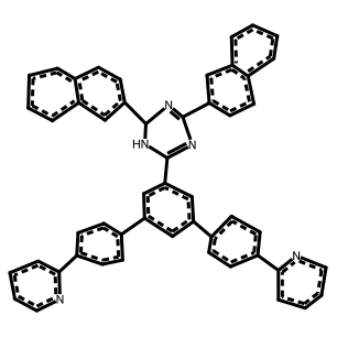 c1ccc(-c2ccc(-c3cc(C4=NC(c5ccc6ccccc6c5)=NC(c5ccc6ccccc6c5)N4)cc(-c4ccc(-c5ccccn5)cc4)c3)cc2)nc1